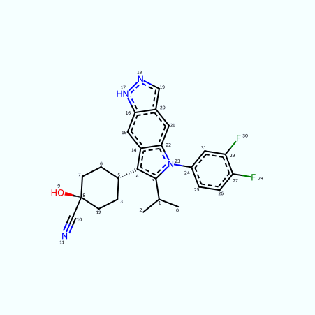 CC(C)c1c([C@H]2CC[C@@](O)(C#N)CC2)c2cc3[nH]ncc3cc2n1-c1ccc(F)c(F)c1